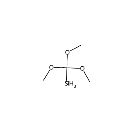 COC([SiH3])(OC)OC